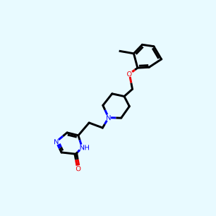 Cc1ccccc1OCC1CCN(CCc2cncc(=O)[nH]2)CC1